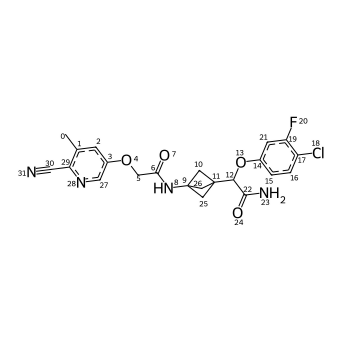 Cc1cc(OCC(=O)NC23CC(C(Oc4ccc(Cl)c(F)c4)C(N)=O)(C2)C3)cnc1C#N